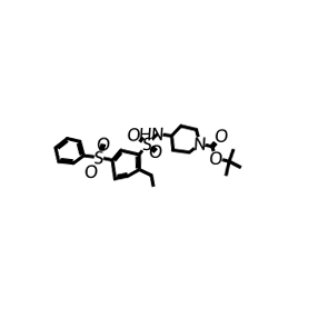 CCc1ccc(S(=O)(=O)c2ccccc2)cc1S(=O)(=O)NC1CCN(C(=O)OC(C)(C)C)CC1